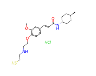 COc1cc(C=CC(=O)N[C@H]2CC[C@H](C)CC2)ccc1OCCNCCS.Cl